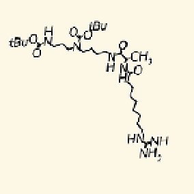 C[C@H](NC(=O)CCCCCCCCNC(=N)N)C(=O)NCCCCN(CCCNC(=O)OC(C)(C)C)C(=O)OC(C)(C)C